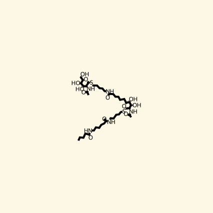 CCCCC(=O)NCCCCCC(=O)NCCCCCS[C@@H]1OC(CCCCCC(=O)NCCCCCS[C@@H]2OC(CO)[C@H](O)[C@@H](O)C2NC(C)=O)[C@H](O)[C@@H](O)C1NC(C)=O